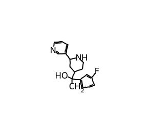 [CH2]C(O)(c1cccc(F)c1)C1CCNC(c2cccnc2)C1